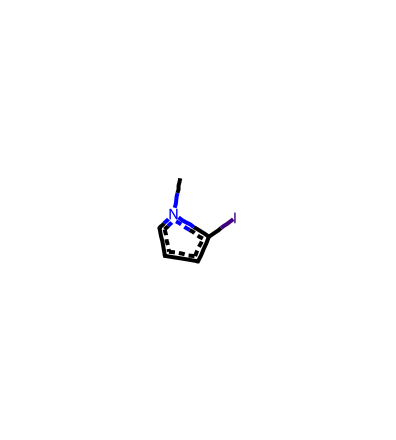 Cn1cccc1I